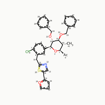 CC(=O)[C@H]1O[C@@H](c2ccc(Cl)c(Cc3ncc(-c4ccco4)s3)c2)[C@H](OCc2ccccc2)[C@@H](OCc2ccccc2)[C@@H]1C